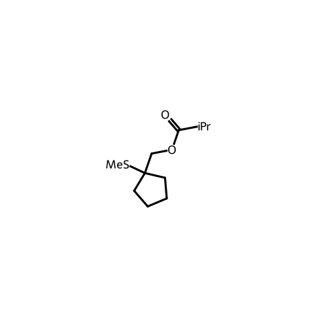 CSC1(COC(=O)C(C)C)CCCC1